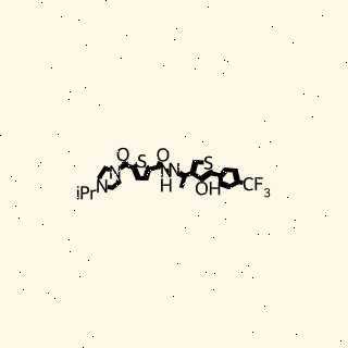 C/C(=N\NC(=O)c1ccc(C(=O)N2CCN(C(C)C)CC2)s1)c1csc(-c2ccc(C(F)(F)F)cc2)c1O